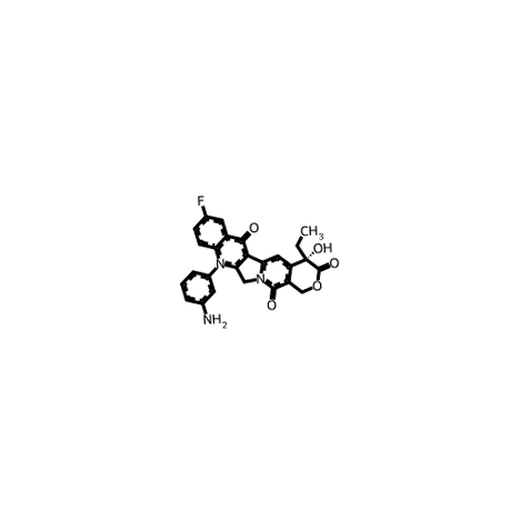 CC[C@@]1(O)C(=O)OCc2c1cc1n(c2=O)Cc2c-1c(=O)c1cc(F)ccc1n2-c1cccc(N)c1